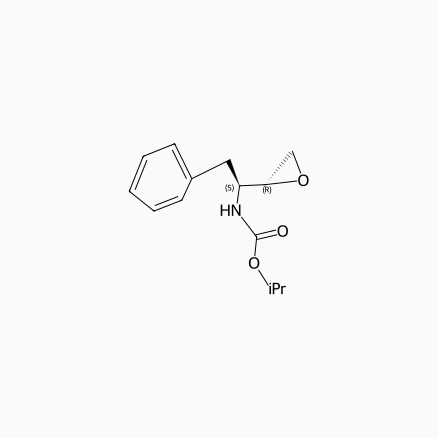 CC(C)OC(=O)N[C@@H](Cc1ccccc1)[C@@H]1CO1